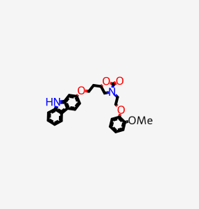 COc1ccccc1OCCN1CC(CCOc2ccc3c(c2)[nH]c2ccccc23)OC1=O